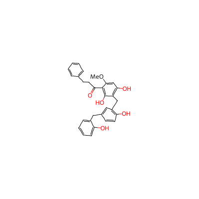 COc1cc(O)c(Cc2cc(Cc3ccccc3O)ccc2O)c(O)c1C(=O)CCc1ccccc1